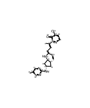 C=N/C(=C\C=C(/C)n1nccc(Cl)c1=O)N[C@H]1CC[C@H](Nc2ncc(C)nn2)C1